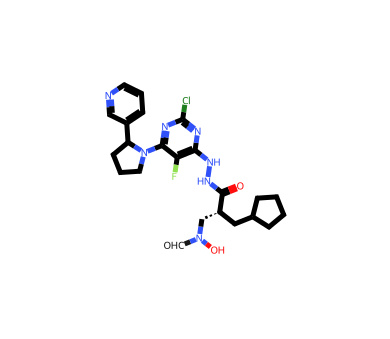 O=CN(O)C[C@@H](CC1CCCC1)C(=O)NNc1nc(Cl)nc(N2CCCC2c2cccnc2)c1F